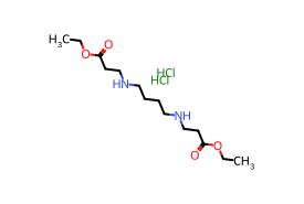 CCOC(=O)CCNCCCCNCCC(=O)OCC.Cl.Cl